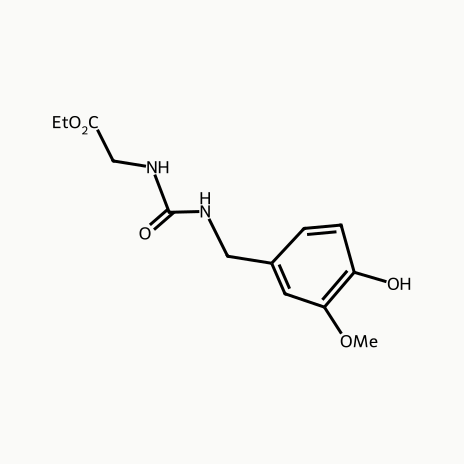 CCOC(=O)CNC(=O)NCc1ccc(O)c(OC)c1